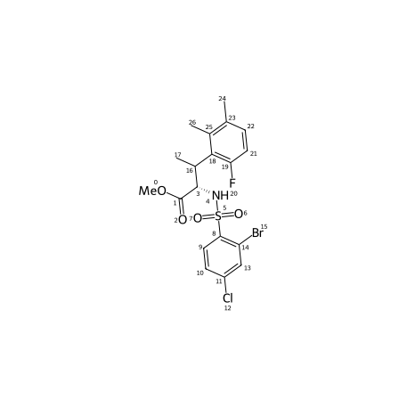 COC(=O)[C@@H](NS(=O)(=O)c1ccc(Cl)cc1Br)C(C)c1c(F)ccc(C)c1C